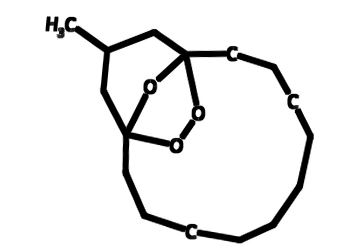 CC1CC23CCCCCCCCCCC(C1)(OO2)O3